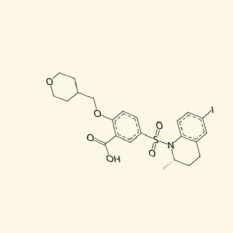 C[C@H]1CCc2cc(I)ccc2N1S(=O)(=O)c1ccc(OCC2CCOCC2)c(C(=O)O)c1